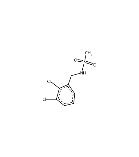 CS(=O)(=O)NCc1cccc(Cl)c1Cl